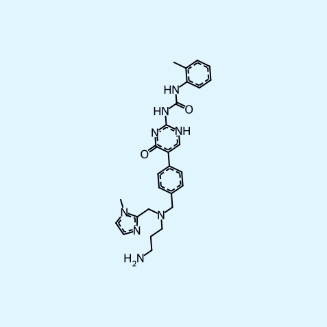 Cc1ccccc1NC(=O)Nc1nc(=O)c(-c2ccc(CN(CCCN)Cc3nccn3C)cc2)c[nH]1